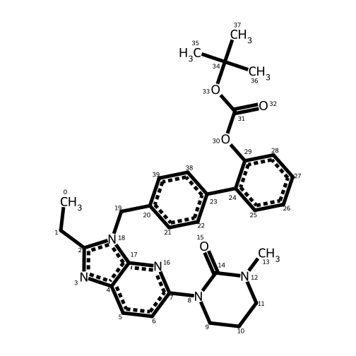 CCc1nc2ccc(N3CCCN(C)C3=O)nc2n1Cc1ccc(-c2ccccc2OC(=O)OC(C)(C)C)cc1